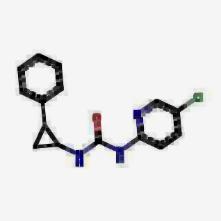 O=C(Nc1ccc(Cl)cn1)NC1CC1c1ccccc1